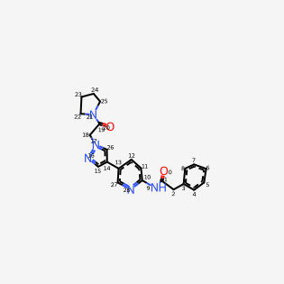 O=C(Cc1ccccc1)Nc1ccc(-c2cnn(CC(=O)N3CCCC3)c2)cn1